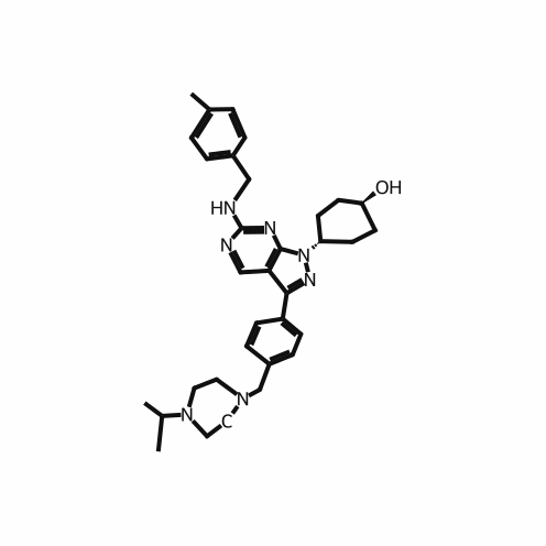 Cc1ccc(CNc2ncc3c(-c4ccc(CN5CCN(C(C)C)CC5)cc4)nn([C@H]4CC[C@H](O)CC4)c3n2)cc1